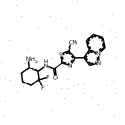 N#Cc1sc(C(=O)NC2C(N)CCCC2(F)F)nc1-c1cnn2ccccc12